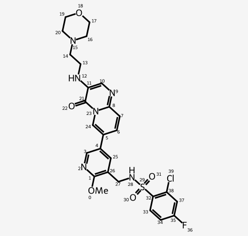 COc1ncc(-c2ccc3ncc(NCCN4CCOCC4)c(=O)n3c2)cc1CNS(=O)(=O)c1ccc(F)cc1Cl